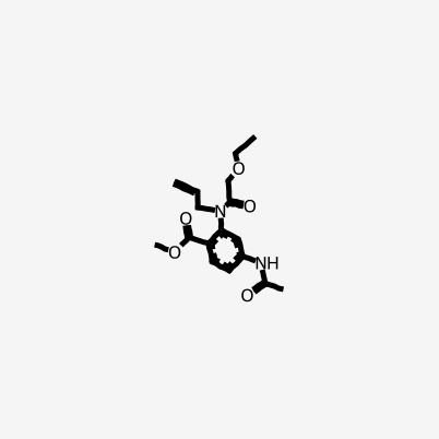 C=CCN(C(=O)COCC)c1cc(NC(C)=O)ccc1C(=O)OC